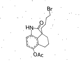 CC(=O)Oc1ccc2c3c1CCCC3(CCCCBr)C(=O)N2